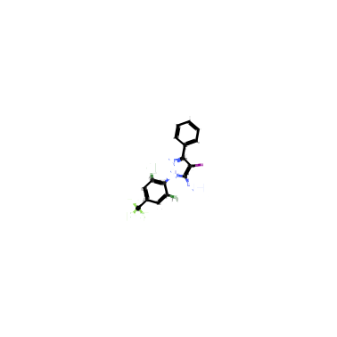 Nc1c(I)c(-c2ccccc2)nn1-c1c(Cl)cc(C(F)(F)F)cc1Cl